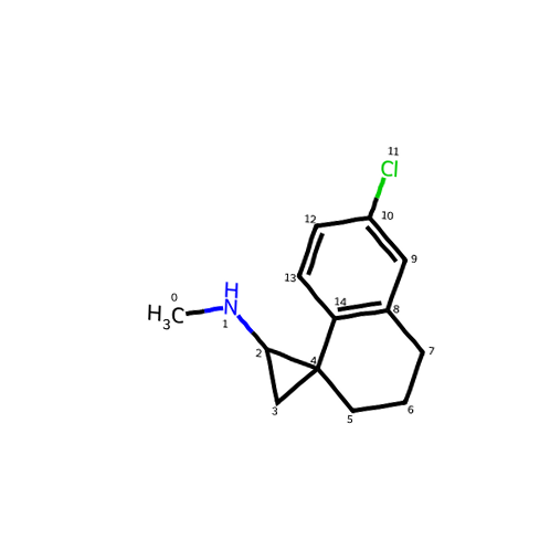 CNC1CC12CCCc1cc(Cl)ccc12